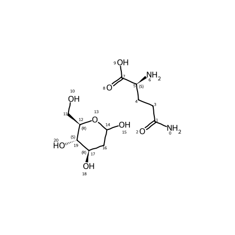 NC(=O)CC[C@H](N)C(=O)O.OC[C@H]1OC(O)C[C@@H](O)[C@@H]1O